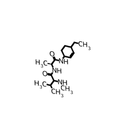 CCC1C=CC(NC(=O)[C@H](C)NC(=O)C(NC)C(C)C)CC1